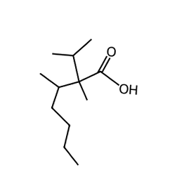 CCCCC(C)C(C)(C(=O)O)C(C)C